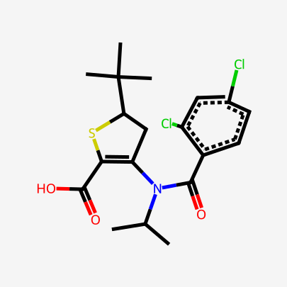 CC(C)N(C(=O)c1ccc(Cl)cc1Cl)C1=C(C(=O)O)SC(C(C)(C)C)C1